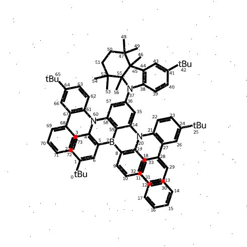 CC(C)(C)c1ccc2c(c1)B1c3ccc(-c4ccccc4)cc3N(c3ccc(C(C)(C)C)cc3-c3ccccc3)c3cc(N4c5ccc(C(C)(C)C)cc5C5(C)C(C)(C)CCC(C)(C)C45C)cc(c31)N2c1ccc(C(C)(C)C)cc1-c1ccccc1